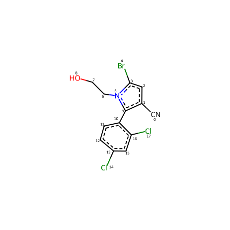 N#Cc1cc(Br)n(CCO)c1-c1ccc(Cl)cc1Cl